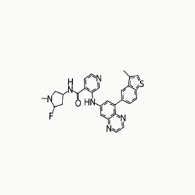 Cc1csc2ccc(-c3cc(Nc4cnccc4C(=O)NC4CC(F)N(C)C4)cc4nccnc34)cc12